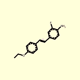 CCOc1ccc(/C=C/c2ccc(N)c(F)c2)cc1